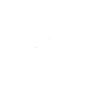 C1=CC2CCC1C2.CCCCBr